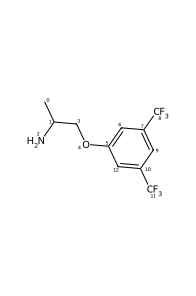 CC(N)COc1cc(C(F)(F)F)cc(C(F)(F)F)c1